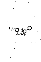 CC(CN1C[C@H]2C[C@@H](c3ccccc3)C[C@H]2C1)c1cccc(C(F)(F)F)c1